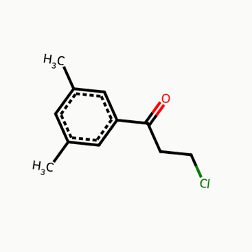 Cc1cc(C)cc(C(=O)CCCl)c1